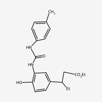 CCOC(=O)CC(CC)c1ccc(O)c(NC(=O)Nc2ccc(C)cc2)c1